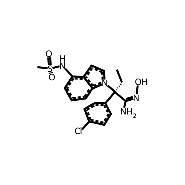 CC[C@](/C(N)=N\O)(c1ccc(Cl)cc1)n1ccc2c(NS(C)(=O)=O)cccc21